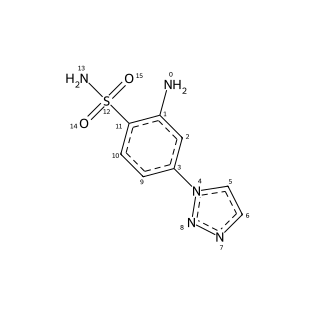 Nc1cc(-n2ccnn2)ccc1S(N)(=O)=O